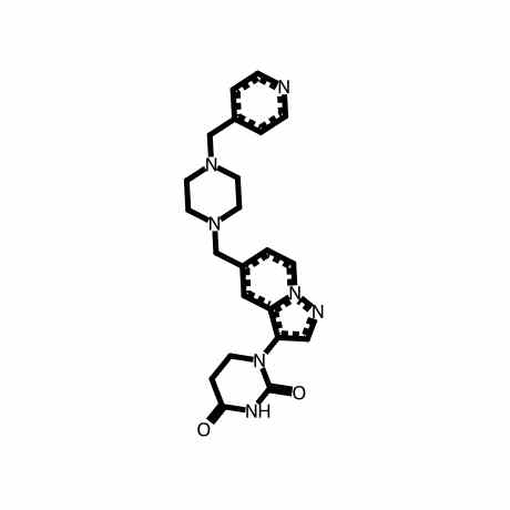 O=C1CCN(c2cnn3ccc(CN4CCN(Cc5ccncc5)CC4)cc23)C(=O)N1